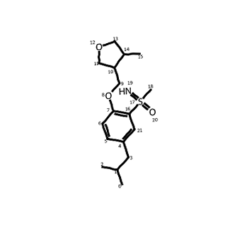 CC(C)Cc1ccc(OCC2COCC2C)c(S(C)(=N)=O)c1